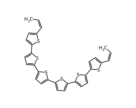 C/C=C\c1ccc(-c2ccc(-c3ccc(-c4ccc(-c5ccc(-c6ccc(/C=C\C)s6)s5)s4)s3)s2)s1